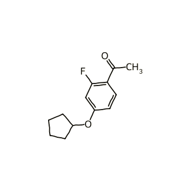 CC(=O)c1ccc(OC2CCCC2)cc1F